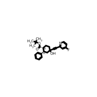 CC(C)(C)OC(=O)[C@@H]1CCC(O)(C#Cc2cc(F)ccn2)C[C@H]1c1ccccc1